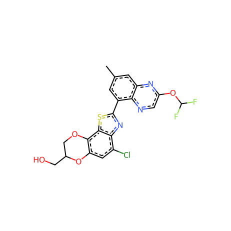 Cc1cc(-c2nc3c(Cl)cc4c(c3s2)OCC(CO)O4)c2ncc(OC(F)F)nc2c1